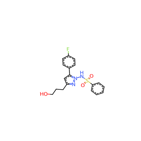 O=S(=O)(Nn1nc(CCCO)cc1-c1ccc(F)cc1)c1ccccc1